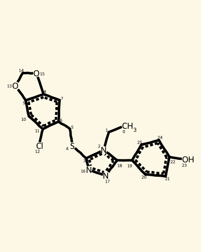 CCn1c(SCc2cc3c(cc2Cl)OCO3)nnc1-c1ccc(O)cc1